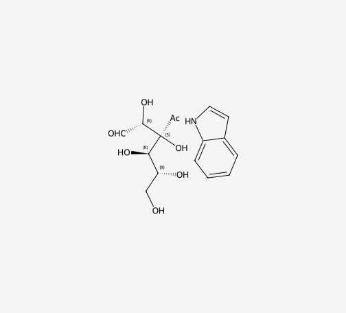 CC(=O)[C@](O)([C@H](O)[C@H](O)CO)[C@@H](O)C=O.c1ccc2[nH]ccc2c1